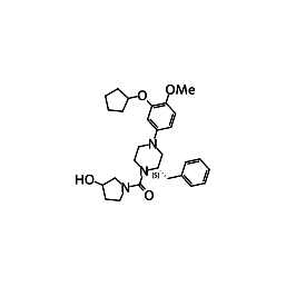 COc1ccc(N2CCN(C(=O)N3CCC(O)C3)[C@@H](Cc3ccccc3)C2)cc1OC1CCCC1